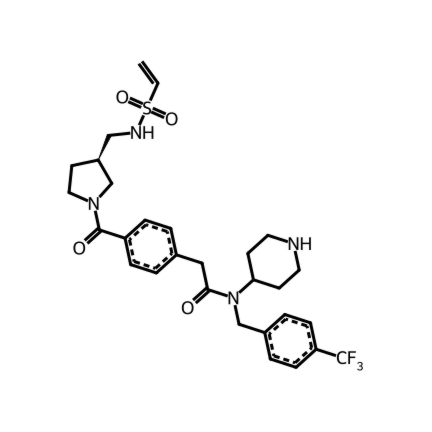 C=CS(=O)(=O)NC[C@@H]1CCN(C(=O)c2ccc(CC(=O)N(Cc3ccc(C(F)(F)F)cc3)C3CCNCC3)cc2)C1